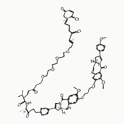 COc1ccc(C2=CN3C(=O)c4cc(OC)c(OCCCOc5cc6c(cc5OC)C(=O)N5C=C(c7ccc(CCC(=O)[C@H](C)NC(=O)C(/C=C/C(=O)CCOCCOCCOCCOCC/C=C/C(=O)CC/C=C8/CC(=O)C=CC8=O)C(C)C)cc7)C[C@H]5C=N6)cc4N=C[C@@H]3C2)cc1